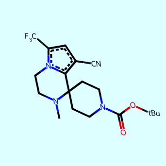 CN1CCn2c(C(F)(F)F)cc(C#N)c2C12CCN(C(=O)OC(C)(C)C)CC2